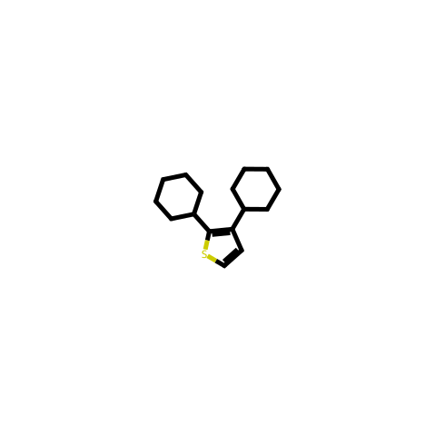 c1cc(C2CCCCC2)c(C2CCCCC2)s1